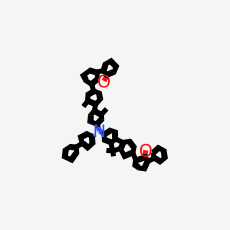 Cc1cc(-c2cccc3c2oc2ccccc23)ccc1-c1ccc(N(c2ccc(-c3ccccc3)cc2)c2ccc3c(c2)C(C)(C)c2cc(-c4cccc5c4oc4ccccc45)ccc2-3)cc1C